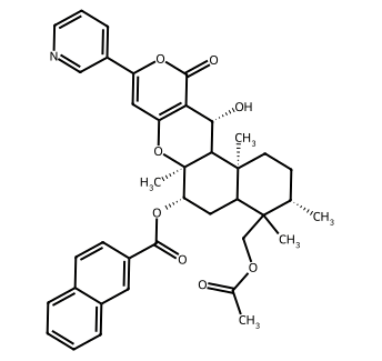 CC(=O)OCC1(C)C2C[C@H](OC(=O)c3ccc4ccccc4c3)[C@@]3(C)Oc4cc(-c5cccnc5)oc(=O)c4[C@H](O)C3[C@@]2(C)CC[C@@H]1C